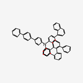 c1ccc(-c2ccc(-c3ccc(N(c4ccc(-c5cccc6ccccc56)cc4)c4ccccc4-c4cccc(-c5ccccc5)c4-c4ccccc4-c4ccccc4)cc3)cc2)cc1